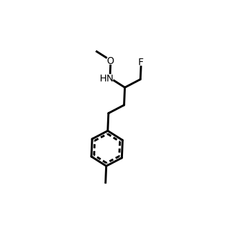 CONC(CF)CCc1ccc(C)cc1